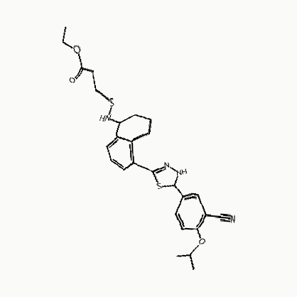 CCOC(=O)CCSNC1CCCc2c(C3=NNC(c4ccc(OC(C)C)c(C#N)c4)S3)cccc21